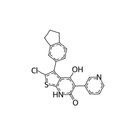 O=c1[nH]c2sc(Cl)c(-c3ccc4c(c3)CCC4)c2c(O)c1-c1cccnc1